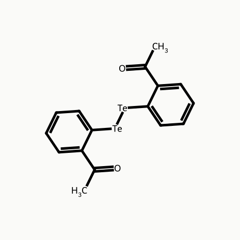 CC(=O)c1ccccc1[Te][Te]c1ccccc1C(C)=O